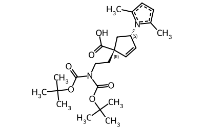 Cc1ccc(C)n1[C@@H]1C=C[C@](CCN(C(=O)OC(C)(C)C)C(=O)OC(C)(C)C)(C(=O)O)C1